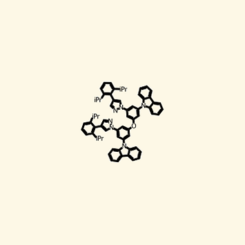 CC(C)c1cccc(C(C)C)c1-c1cnn(-c2cc(Oc3cc(-n4cc(-c5c(C(C)C)cccc5C(C)C)cn4)cc(-n4c5ccccc5c5ccccc54)c3)cc(-n3c4ccccc4c4ccccc43)c2)c1